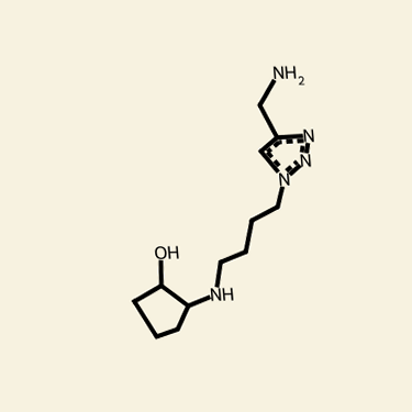 NCc1cn(CCCCNC2CCCC2O)nn1